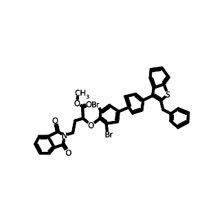 COC(=O)C(CCN1C(=O)c2ccccc2C1=O)Oc1c(Br)cc(-c2ccc(-c3c(Cc4ccccc4)sc4ccccc34)cc2)cc1Br